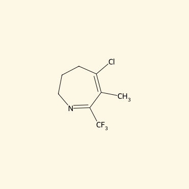 CC1=C(Cl)CCCN=C1C(F)(F)F